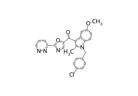 COc1ccc2c(c1)c(C(=O)c1cnc(-c3cccnn3)o1)c(C)n2Cc1ccc(Cl)cc1